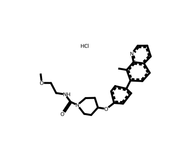 COCCNC(=O)N1CCC(Oc2ccc(-c3ccc4cccnc4c3C)cc2)CC1.Cl